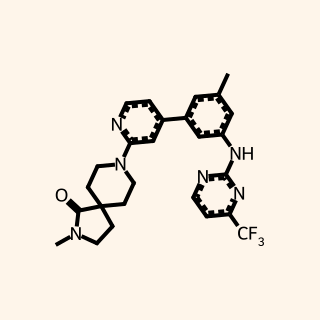 Cc1cc(Nc2nccc(C(F)(F)F)n2)cc(-c2ccnc(N3CCC4(CCN(C)C4=O)CC3)c2)c1